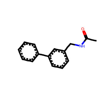 CC(=O)NCc1cccc(-c2c[c]ccc2)c1